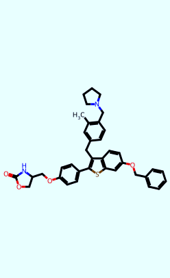 Cc1cc(Cc2c(-c3ccc(OCC4COC(=O)N4)cc3)sc3cc(OCc4ccccc4)ccc23)ccc1CN1CCCC1